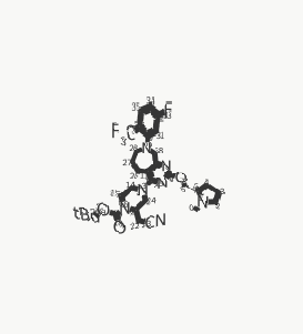 CN1CCC[C@H]1COc1nc2c(c(N3CCN(C(=O)OC(C)(C)C)C(CC#N)C3)n1)CCCN(c1cc(F)ccc1C(F)(F)F)C2